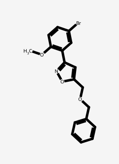 COc1ccc(Br)cc1-c1cc(COCc2ccccc2)on1